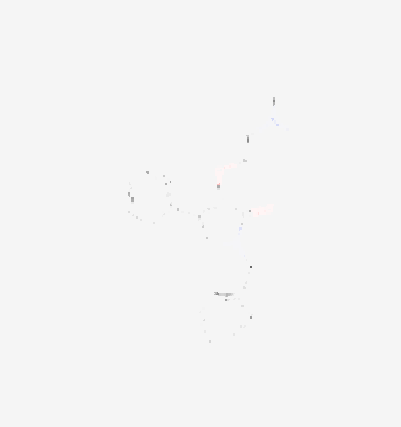 CN(C)CCOC1=C(c2ccccc2)CN(Cc2ccccc2)C1=O.Cl